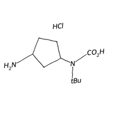 CC(C)(C)N(C(=O)O)C1CCC(N)C1.Cl